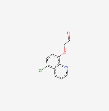 O=CCOc1ccc(Cl)c2cccnc12